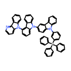 c1ccc([Si](c2ccccc2)(c2ccccc2)c2cccc(-n3c4ccccc4c4cc(-n5c6ccccc6c6c(-n7c8ccccc8c8ncccc87)cccc65)ccc43)c2)cc1